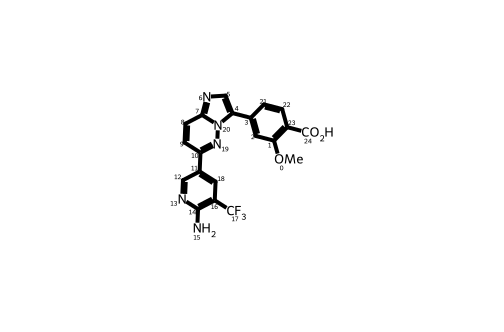 COc1cc(-c2cnc3ccc(-c4cnc(N)c(C(F)(F)F)c4)nn23)ccc1C(=O)O